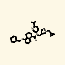 CC(C)c1ccc(N(Cc2cnn(CC3CC3)c2)C(=O)C2CCCc3c(OCc4ccccc4)cccc32)cn1